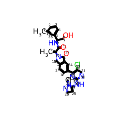 Cc1cccc(C(CO)NC(=O)C(C)N2Cc3ccc(-c4nc(Nc5ccnn5C)ncc4Cl)cc3C2=O)c1